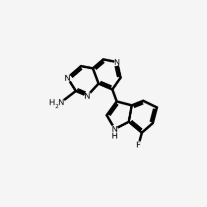 Nc1ncc2cncc(-c3c[nH]c4c(F)cccc34)c2n1